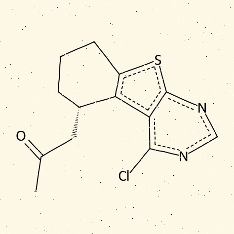 CC(=O)C[C@@H]1CCCc2sc3ncnc(Cl)c3c21